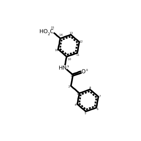 O=C(Cc1ccccc1)Nc1cccc(C(=O)O)c1